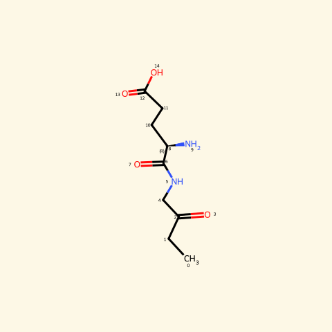 CCC(=O)CNC(=O)[C@H](N)CCC(=O)O